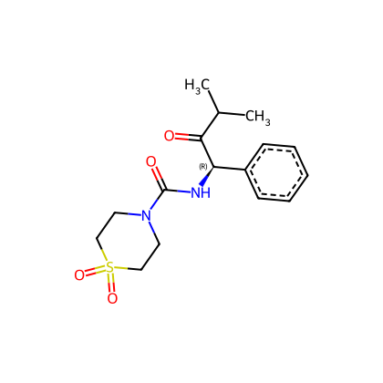 CC(C)C(=O)[C@H](NC(=O)N1CCS(=O)(=O)CC1)c1ccccc1